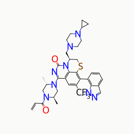 C=CC(=O)N1C[C@H](C)N(c2nc(=O)n3c4c(c(-c5cccc6cnn(C)c56)c(C(F)(F)F)cc24)SC[C@@H]3CN2CCN(C3CC3)CC2)C[C@H]1C